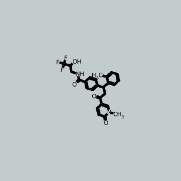 Cc1ccccc1C(CC(=O)c1ccc(=O)n(C)c1)c1ccc(C(=O)NCC(O)C(F)(F)F)cc1